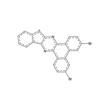 Brc1ccc2c(c1)c1cc(Br)ccc1c1nc3c(nc21)sc1ccccc13